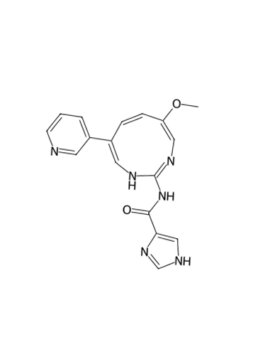 COc1ccc(-c2cccnc2)c[nH]c(NC(=O)c2c[nH]cn2)nc1